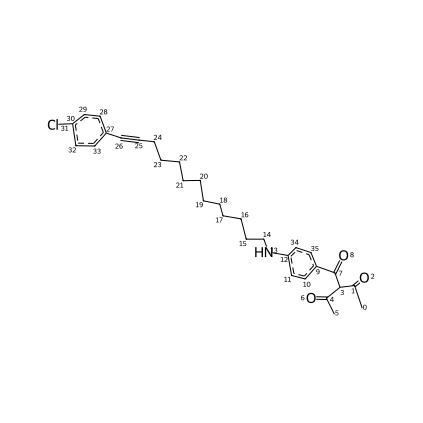 CC(=O)C(C(C)=O)C(=O)c1ccc(NCCCCCCCCCCCC#Cc2ccc(Cl)cc2)cc1